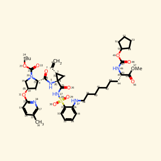 C=C[C@@H]1C[C@]1(NC(=O)[C@@H]1C[C@@H](Oc2ccc(C)cn2)CN1C(=O)OC(C)(C)C)C(=O)NS(=O)(=O)c1ccccc1NCCCCCCC[C@H](NC(=O)OC1CCCC1)C(=O)OC